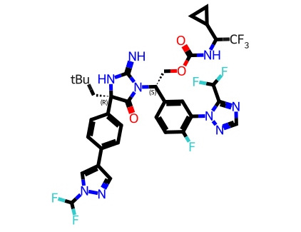 CC(C)(C)C[C@]1(c2ccc(-c3cnn(C(F)F)c3)cc2)NC(=N)N([C@H](COC(=O)NC(C2CC2)C(F)(F)F)c2ccc(F)c(-n3ncnc3C(F)F)c2)C1=O